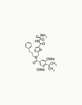 C=C(C)c1c(OC)cc(C(=O)N(CCCc2ccccc2)Cc2nc(C(=O)NS(N)(=O)=O)cs2)cc1OC